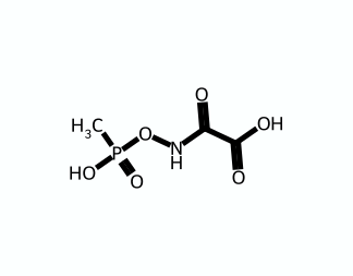 CP(=O)(O)ONC(=O)C(=O)O